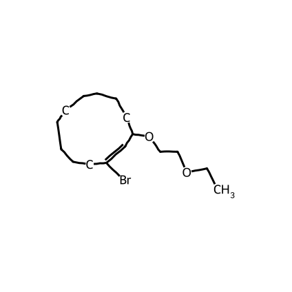 CCOCCOC1C=C(Br)CCCCCCCCC1